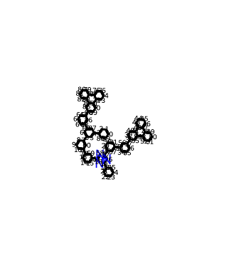 c1ccc(-c2cc(-c3cccc(-c4cccc(-c5nc(-c6ccccc6)nc(-c6cccc(-c7cccc(-c8ccc9c%10ccccc%10c%10ccccc%10c9c8)c7)c6)n5)c4)c3)cc(-c3cccc(-c4ccc5c6ccccc6c6ccccc6c5c4)c3)c2)cc1